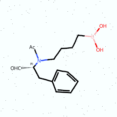 CC(=O)N(CCC[CH]B(O)O)[C@@H](C=O)Cc1ccccc1